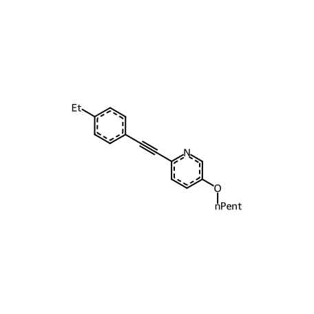 CCCCCOc1ccc(C#Cc2ccc(CC)cc2)nc1